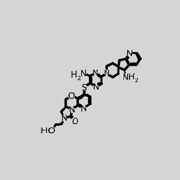 Nc1nc(N2CCC3(CC2)Cc2ncccc2[C@H]3N)cnc1Sc1ccnc2c1OCC1CN(CCO)C(=O)N21